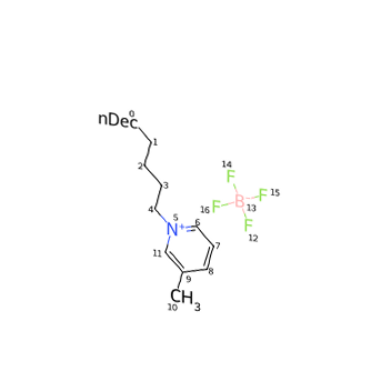 CCCCCCCCCCCCCC[n+]1cccc(C)c1.F[B-](F)(F)F